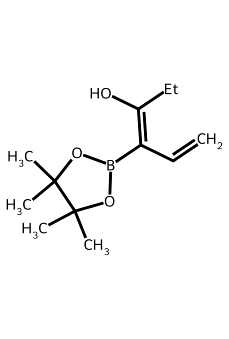 C=C/C(B1OC(C)(C)C(C)(C)O1)=C(/O)CC